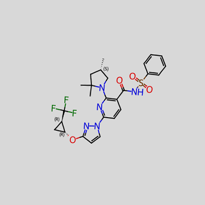 C[C@@H]1CN(c2nc(-n3ccc(O[C@@H]4C[C@H]4C(F)(F)F)n3)ccc2C(=O)NS(=O)(=O)c2ccccc2)C(C)(C)C1